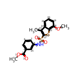 COC(=O)c1cccc(NS(=O)(=O)c2sc3c(OC)cccc3c2C)c1